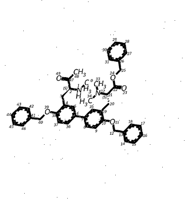 CN[C@@H](Cc1cc(-c2ccc(OCc3ccccc3)c(C[C@@H](C(=O)OCc3ccccc3)N(C)C)c2)ccc1OCc1ccccc1)C(C)=O